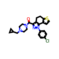 O=C(c1nn(-c2ccc(Cl)cc2)c2c1CCc1sccc1-2)N1CCN(CC2CC2)CC1